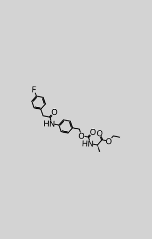 CCOC(=O)[C@@H](C)NC(=O)OCc1ccc(NC(=O)Cc2ccc(F)cc2)cc1